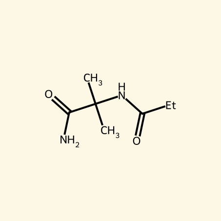 CCC(=O)NC(C)(C)C(N)=O